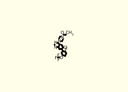 C=CC(=O)N1CCN(c2ncnc3cc(-c4cc(OC(F)(F)F)ccc4F)c(Cl)cc23)CC1